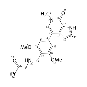 COc1cc(-c2cn(C)c(=O)c3[nH]ncc23)cc(OC)c1CNCC(=O)C(C)C